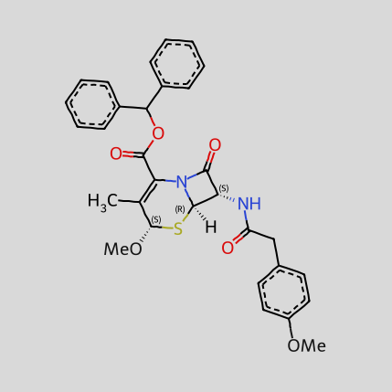 COc1ccc(CC(=O)N[C@H]2C(=O)N3C(C(=O)OC(c4ccccc4)c4ccccc4)=C(C)[C@@H](OC)S[C@H]23)cc1